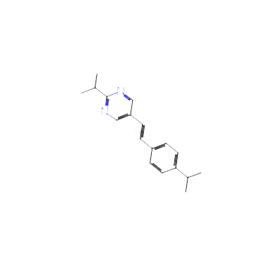 CC(C)c1ccc(/C=C/c2cnc(C(C)C)nc2)cc1